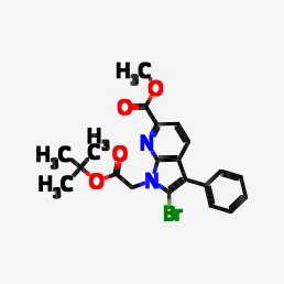 COC(=O)c1ccc2c(-c3ccccc3)c(Br)n(CC(=O)OC(C)(C)C)c2n1